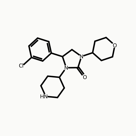 O=C1N(C2CCOCC2)CC(c2cccc(Cl)c2)N1C1CCNCC1